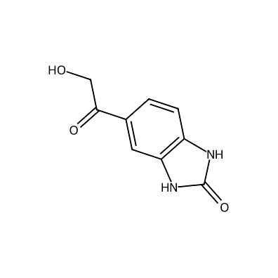 O=C(CO)c1ccc2[nH]c(=O)[nH]c2c1